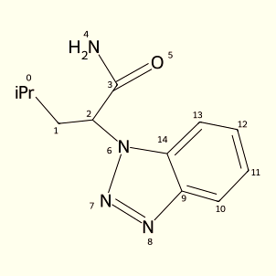 CC(C)CC(C(N)=O)n1nnc2ccccc21